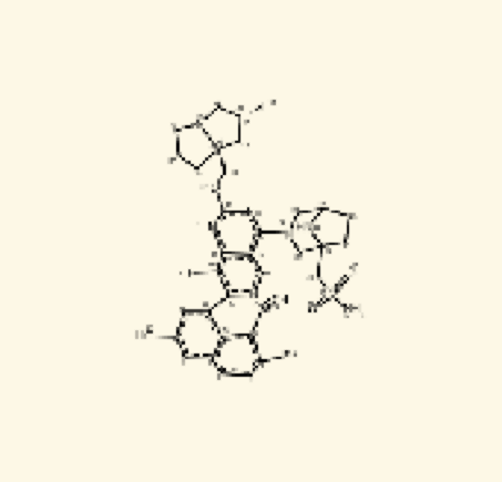 C#Cc1c(F)ccc2cc(O)cc(-c3ncc4c(N5CC6CCC(CS(N)(=O)=O)(C5)N6)nc(OC[C@@]56CCCN5C[C@H](F)C6)nc4c3F)c12